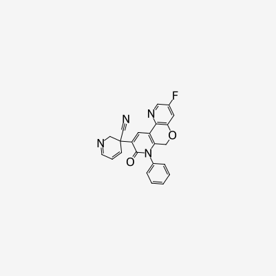 N#CC1(c2cc3c(n(-c4ccccc4)c2=O)COc2cc(F)cnc2-3)C=CC=NC1